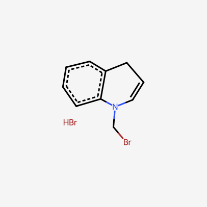 Br.BrCN1C=CCc2ccccc21